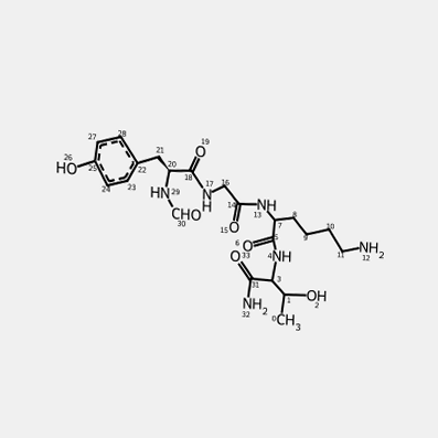 CC(O)C(NC(=O)C(CCCCN)NC(=O)CNC(=O)[C@H](Cc1ccc(O)cc1)NC=O)C(N)=O